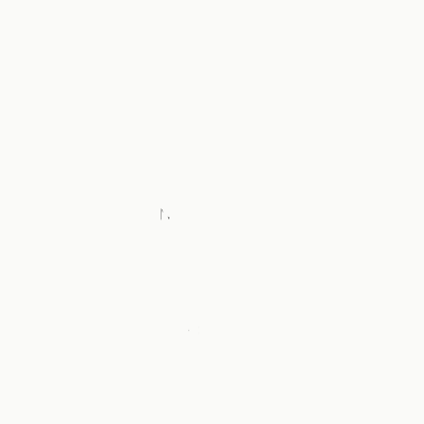 c1ccc(-c2ccc(N(c3ccc4c(c3)C3(c5ccccc5Oc5ccc(-c6ccccc6)cc53)c3ccccc3-4)c3cccc4ccccc34)cc2)cc1